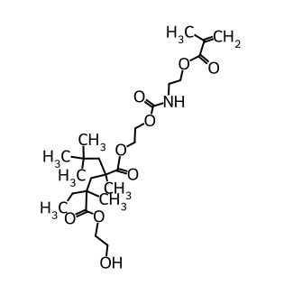 C=C(C)C(=O)OCCNC(=O)OCCOC(=O)C(C)(CC(C)(C)C)CC(C)(CC)C(=O)OCCO